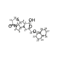 O=C(O)c1cc2c3c(ccn3C(=O)CCS2)c1CCCOc1cccc2ccccc12